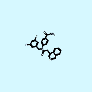 NC(=O)c1ccc(N(Cc2cc(F)cc(F)c2)C(=O)Cc2cncc3ccccc23)cc1